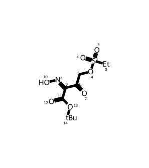 CCS(=O)(=O)OCC(=O)C(=NO)C(=O)OC(C)(C)C